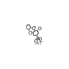 COc1cc(B2OC(C)(C)C(C)(C)O2)ccc1Oc1ccccc1Cl